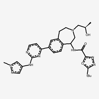 C[C@@H](O)CN1CCc2cc(-c3ccnc(Nc4cnn(C)c4)n3)ccc2C(NC(=O)c2nnc(C(C)(C)C)o2)C1